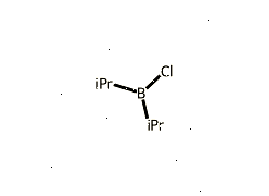 CC(C)B(Cl)C(C)C